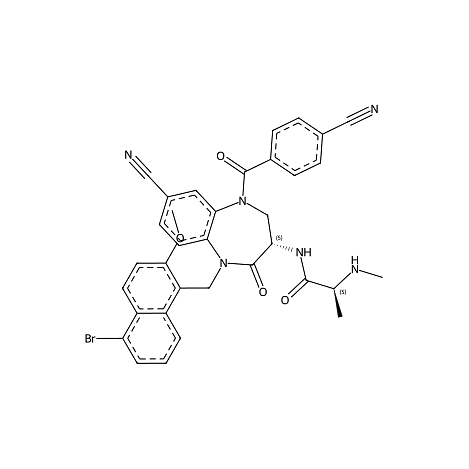 CN[C@@H](C)C(=O)N[C@H]1CN(C(=O)c2ccc(C#N)cc2)c2cc(C#N)ccc2N(Cc2c(OC)ccc3c(Br)cccc23)C1=O